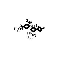 COC(=O)c1ccc(Nc2cc(NC(C)=O)cc(-c3ccc(F)cc3F)c2)c([N+](=O)[O-])c1